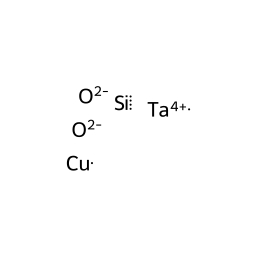 [Cu].[O-2].[O-2].[Si].[Ta+4]